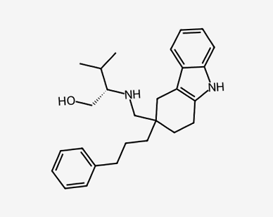 CC(C)[C@@H](CO)NCC1(CCCc2ccccc2)CCc2[nH]c3ccccc3c2C1